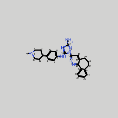 CN1CCC(c2ccc(Nc3nc(N)nn3-c3cc4c(nn3)-c3ccccc3CCC4)cc2)CC1